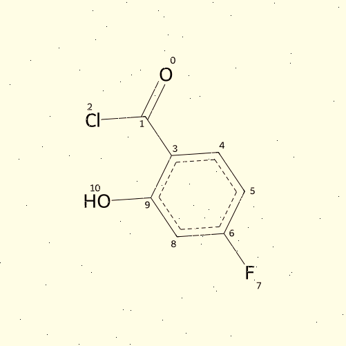 O=C(Cl)c1ccc(F)cc1O